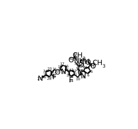 COC(=O)c1ccc2nc(Cc3ccc(-c4cccc(OCc5ccc(C#N)cc5F)n4)cc3F)n(C[C@@H](CNC(C)=O)OC)c2c1